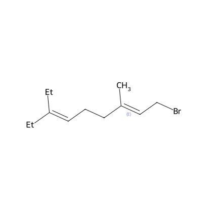 CCC(=CCC/C(C)=C/CBr)CC